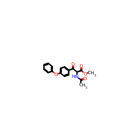 COC(=O)C(NC(C)=O)C(=O)c1ccc(Oc2ccccc2)cc1